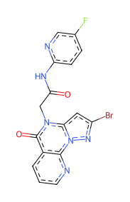 O=C(Cn1c(=O)c2cccnc2n2nc(Br)cc12)Nc1ccc(F)cn1